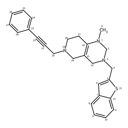 CN1CN(Cc2cc3ccccc3s2)CC2=C1CCN(CC#Cc1ccccc1)C2